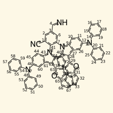 N#Cc1cc(C=N)cc(-n2c3ccc(N(c4ccccc4)c4ccccc4)cc3c3c4oc5ccccc5c4ccc32)c1-n1c2ccc(N(c3ccccc3)c3ccccc3)cc2c2c3oc4ccccc4c3ccc21